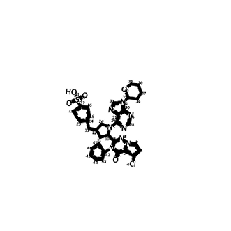 O=c1c2c(Cl)ccn2nc(C2CC(Cc3ccc(S(=O)(=O)O)cc3)CN2c2ncnc3c2ncn3C2CCCCO2)n1-c1ccccc1